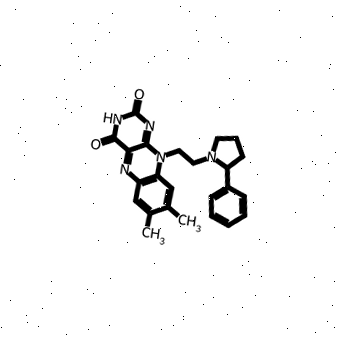 Cc1cc2nc3c(=O)[nH]c(=O)nc-3n(CCN3CCCC3c3ccccc3)c2cc1C